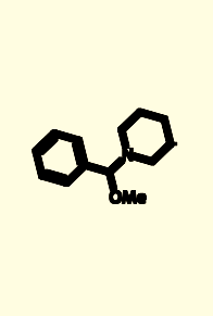 COC(c1ccccc1)N1C[CH]CCC1